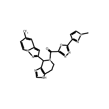 Cn1ccc(-c2nnc(C(=O)N3CCc4[nH]cnc4C3c3cc4cc(C(F)(F)F)ccn4n3)o2)n1